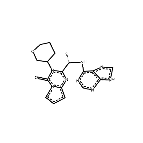 C[C@H](Nc1ncnc2[nH]cnc12)c1nc2cccn2c(=O)n1C1CCCOC1